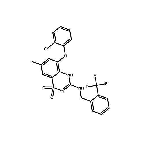 Cc1cc(Oc2ccccc2Cl)c2c(c1)S(=O)(=O)N=C(NCc1ccccc1C(F)(F)F)N2